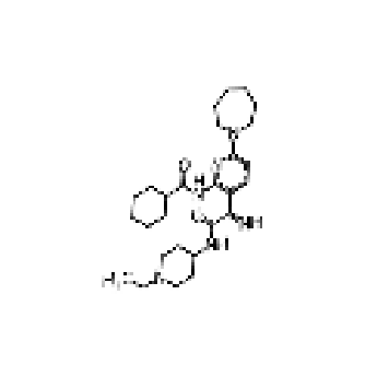 CCN1CCC(NC(=O)C(=N)c2ccc(N3CCCCCC3)nc2NC(=O)C2CCCCC2)CC1